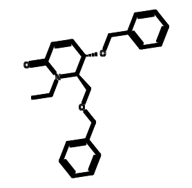 CCN1C(=O)C=C[C@H](OCc2ccccc2)[C@H]1COCc1ccccc1